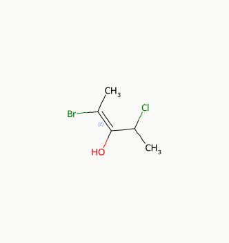 C/C(Br)=C(/O)C(C)Cl